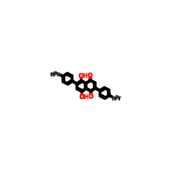 CCCc1ccc(C2=CC(=O)c3c(O)c(-c4ccc(CCC)cc4)cc(O)c3C2=O)cc1